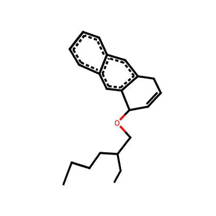 CCCCC(CC)COC1C=CCc2cc3ccccc3cc21